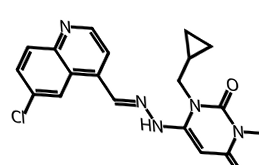 Cn1c(=O)cc(NN=Cc2ccnc3ccc(Cl)cc23)n(CC2CC2)c1=O